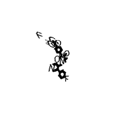 CC1(C)C(=O)N(c2ccc(S(=O)(=O)C(F)(F)F)cc2)C(=O)N1Cc1ccncc1-c1ccc(F)cc1